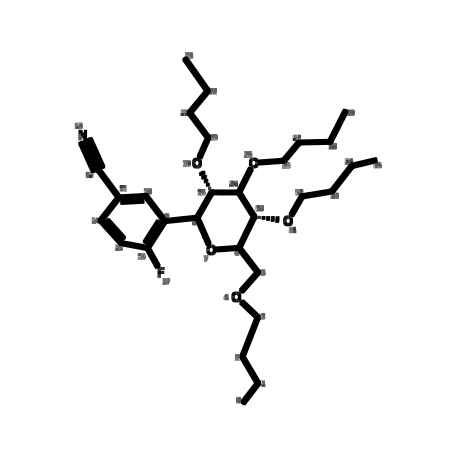 CCCCOCC1OC(c2cc(C#N)ccc2F)[C@H](OCCCC)C(OCCCC)[C@@H]1OCCCC